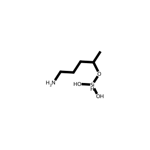 CC(CCCN)O[SiH](O)O